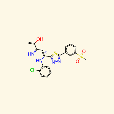 C=C(O)C(=N)/C=C(\Nc1ccccc1Cl)c1nnc(-c2cccc(S(C)(=O)=O)c2)s1